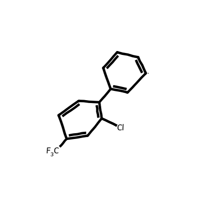 FC(F)(F)c1ccc(-c2c[c]ccc2)c(Cl)c1